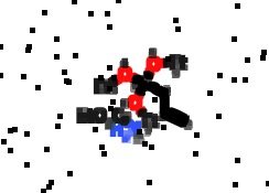 C=CC[Si](OCC)(OCC)OCC.CCOC(N)=O